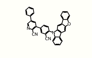 N#Cc1cc(-c2cc(-c3ccccc3)cnc2C#N)ccc1-n1c2ccccc2c2cc3oc4ccccc4c3cc21